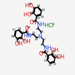 Cl.O=C(NCCN(CCNC(=O)c1cccc(O)c1O)CCNC(=O)c1cccc(O)c1O)c1cccc(O)c1O